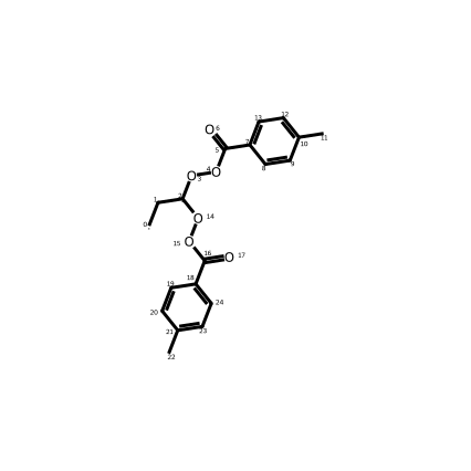 [CH2]C[C](OOC(=O)c1ccc(C)cc1)OOC(=O)c1ccc(C)cc1